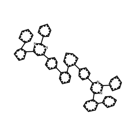 c1ccc(-c2nc(-c3ccc(-c4ccccc4-c4ccccc4-c4ccc(-c5cc(-c6ccccc6-c6ccccc6)nc(-c6ccccc6)n5)cc4)cc3)cc(-c3ccccc3-c3ccccc3)n2)cc1